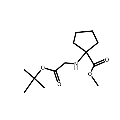 COC(=O)C1(NCC(=O)OC(C)(C)C)CCCC1